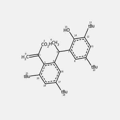 C=C(C(=O)O)c1c(C(C)c2cc(C(C)(C)C)cc(C(C)(C)C)c2O)cc(C(C)(C)C)cc1C(C)(C)C